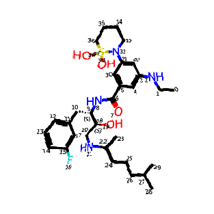 CCNc1cc(C(=O)N[C@@H](Cc2cccc(F)c2)[C@@H](O)CNC(C)CCCC(C)C)cc(N2CCCCS2(O)O)c1